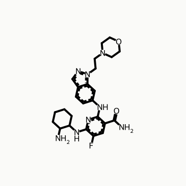 NC(=O)c1cc(F)c(NC2CCCCC2N)nc1Nc1ccc2cnn(CCN3CCOCC3)c2c1